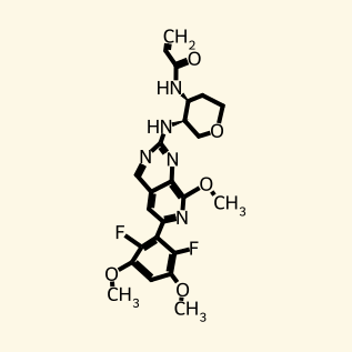 C=CC(=O)N[C@H]1CCOC[C@H]1Nc1ncc2cc(-c3c(F)c(OC)cc(OC)c3F)nc(OC)c2n1